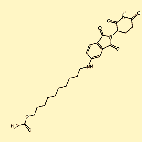 NC(=O)OCCCCCCCCCCNc1ccc2c(c1)C(=O)N(C1CCC(=O)NC1=O)C2=O